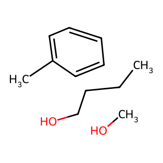 CCCCO.CO.Cc1ccccc1